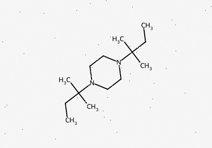 CCC(C)(C)N1CCN(C(C)(C)CC)CC1